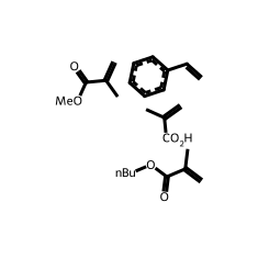 C=C(C)C(=O)O.C=C(C)C(=O)OC.C=C(C)C(=O)OCCCC.C=Cc1ccccc1